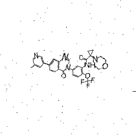 Cc1cncc(-c2ccc3c(=O)n(-c4ccc(OC(F)(F)F)c(NC(=O)C5(N6CCOCC6)CC5)c4)cnc3c2)c1